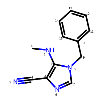 CNc1c(C#N)ncn1Cc1ccccc1